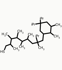 CC1CC(C(C)C)(C(C)C)CC(CC(C)(CC(C)C(C)C(C)C(C)C(C)CS)C(C)C)C1C